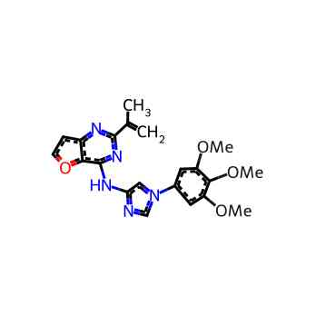 C=C(C)c1nc(Nc2cn(-c3cc(OC)c(OC)c(OC)c3)cn2)c2occc2n1